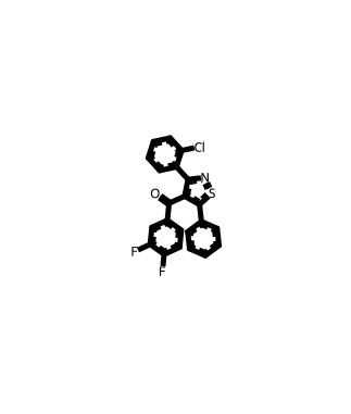 O=C(c1ccc(F)c(F)c1)c1c(-c2ccccc2Cl)nsc1-c1ccccc1